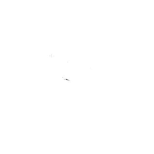 CC(C)(C)OC(=O)N[C@H]1CC2(CC[C@@H]1O)OCCO2